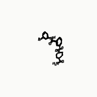 NC(=O)C1CCN(S(=O)(=O)c2cccc(C(=O)Nc3cccc(Br)c3)c2)CC1